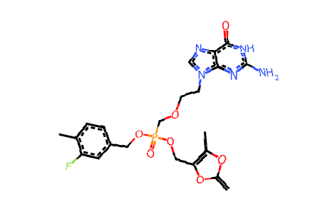 C=C1OC(C)=C(COP(=O)(COCCn2cnc3c(=O)[nH]c(N)nc32)OCc2ccc(C)c(F)c2)O1